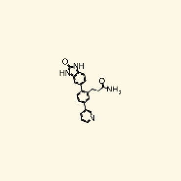 NC(=O)CCc1cc(-c2cccnc2)ccc1-c1ccc2[nH]c(=O)[nH]c2c1